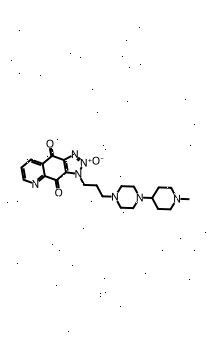 CN1CCC(N2CCN(CCCn3c4c(n[n+]3[O-])C(=O)c3cccnc3C4=O)CC2)CC1